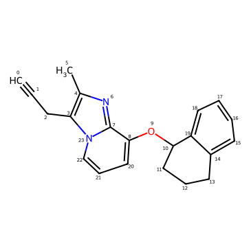 C#CCc1c(C)nc2c(OC3CCCc4ccccc43)cccn12